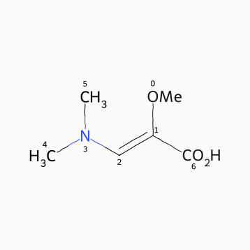 CO/C(=C\N(C)C)C(=O)O